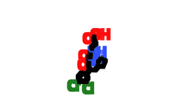 O=C(O)CCNC(=O)NC(=O)C(CC1CCCC1)c1ccc(Cl)c(Cl)c1